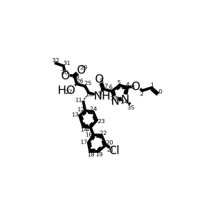 C=CCOc1cc(C(=O)N[C@H](Cc2ccc(-c3cccc(Cl)c3)cc2)C[C@@H](O)C(=O)OCC)nn1C